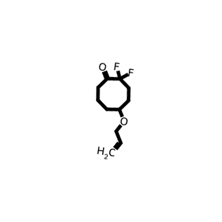 C=CCOC1CCCC(=O)C(F)(F)CC1